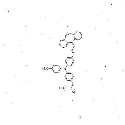 [C-]#[N+]/C(=C/c1ccc(N(c2ccc(C)cc2)c2ccc(C=CC=C3c4ccccc4C=Cc4ccccc43)cc2)cc1)C(=O)O